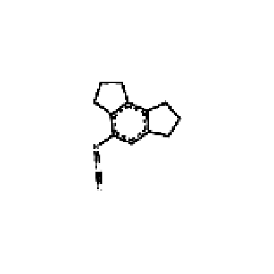 O=C=Nc1cc2c(c3c1CCC3)CCC2